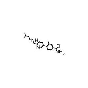 Cc1cc(C(N)=O)ccc1-c1ccc(CNCCC(C)C)nc1